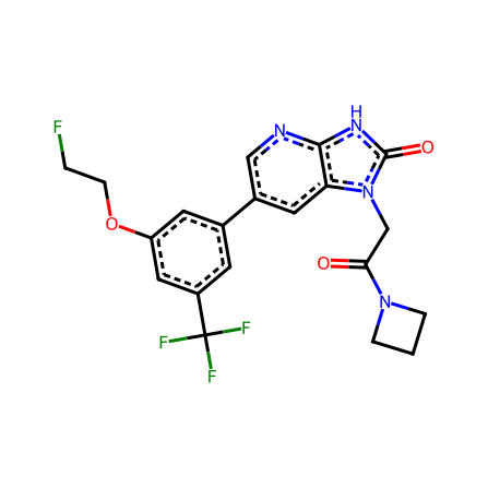 O=C(Cn1c(=O)[nH]c2ncc(-c3cc(OCCF)cc(C(F)(F)F)c3)cc21)N1CCC1